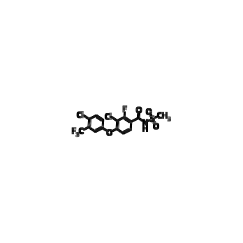 CS(=O)(=O)NC(=O)c1ccc(Oc2ccc(Cl)c(C(F)(F)F)c2)c(Cl)c1F